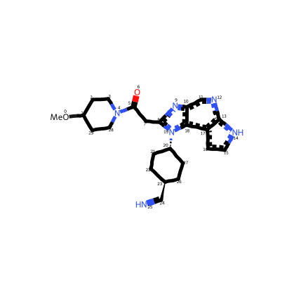 COC1CCN(C(=O)Cc2nc3cnc4[nH]ccc4c3n2[C@H]2CC[C@H](C=N)CC2)CC1